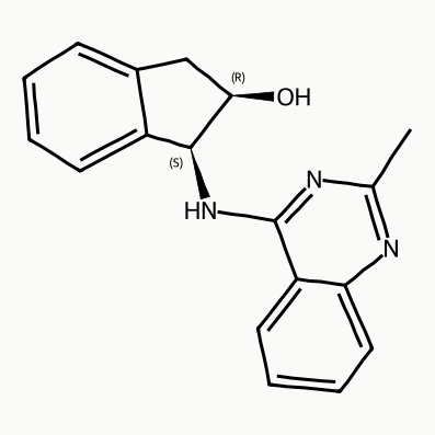 Cc1nc(N[C@H]2c3ccccc3C[C@H]2O)c2ccccc2n1